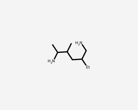 CCC(CN)CC(C)C(C)N